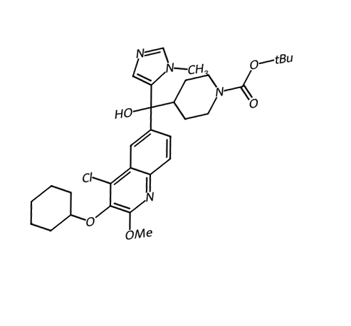 COc1nc2ccc(C(O)(c3cncn3C)C3CCN(C(=O)OC(C)(C)C)CC3)cc2c(Cl)c1OC1CCCCC1